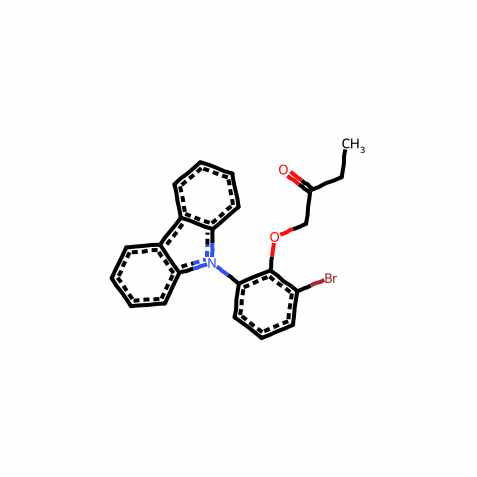 CCC(=O)COc1c(Br)cccc1-n1c2ccccc2c2ccccc21